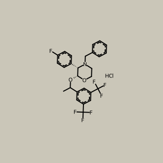 CC(O[C@H]1OCCN(Cc2ccccc2)[C@H]1c1ccc(F)cc1)c1cc(C(F)(F)F)cc(C(F)(F)F)c1.Cl